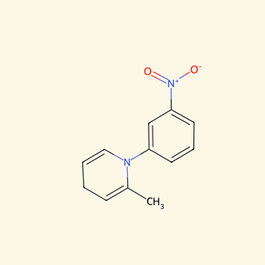 CC1=CCC=CN1c1cccc([N+](=O)[O-])c1